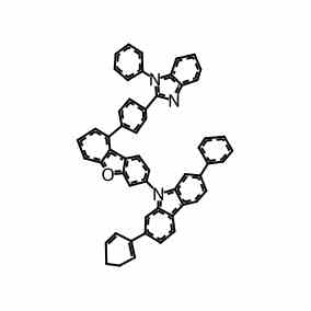 C1=CC(c2ccc3c4ccc(-c5ccccc5)cc4n(-c4ccc5c(c4)oc4cccc(-c6ccc(-c7nc8ccccc8n7-c7ccccc7)cc6)c45)c3c2)=CCC1